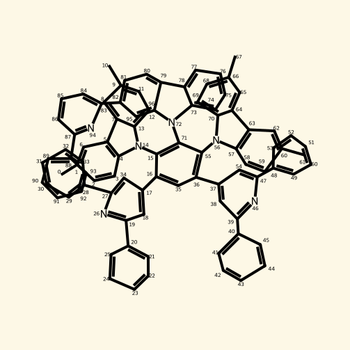 Cc1ccc2c(c1)c1cc(C)ccc1n2-c1c(-c2cc(-c3ccccc3)nc(-c3ccccc3)c2)cc(-c2cc(-c3ccccc3)nc(-c3ccccc3)c2)c(-n2c3ccc(C)cc3c3cc(C)ccc32)c1-n1c2ccccc2c2ccc(-c3cccc(-c4ccccc4)n3)cc21